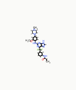 C=CC(=O)Nc1cccc(C(F)(F)c2nc(Nc3ccc(N4CCN(C)CC4)cc3OC)nc3[nH]cnc23)c1